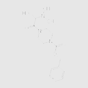 CC(C(=O)N1CCN(C(=O)OCc2ccccc2)CC1)N(C)C